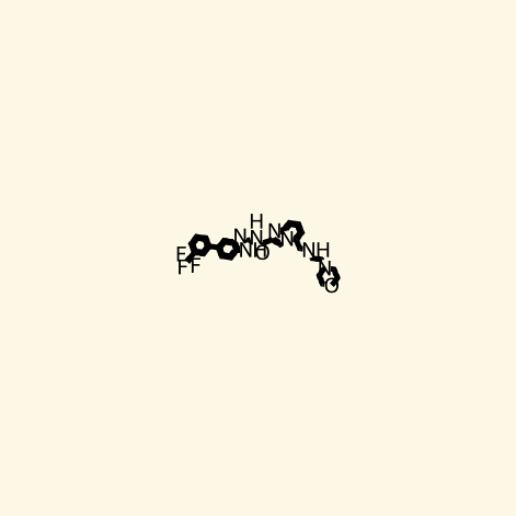 O=C(Nc1nc2cc(-c3cccc(C(F)(F)F)c3)ccc2[nH]1)c1cn2c(CNCCN3CCOCC3)cccc2n1